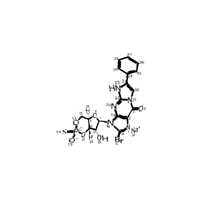 O=c1c2nc(Br)n([C@@H]3O[C@@H]4COP([O-])(=S)O[C@H]4[C@H]3O)c2nc2[nH]c(-c3ccccc3)cn12.[Na+]